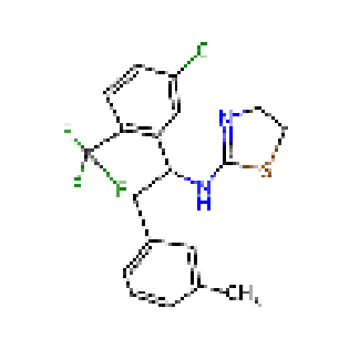 Cc1cccc(CC(NC2=NCCS2)c2cc(Cl)ccc2C(F)(F)F)c1